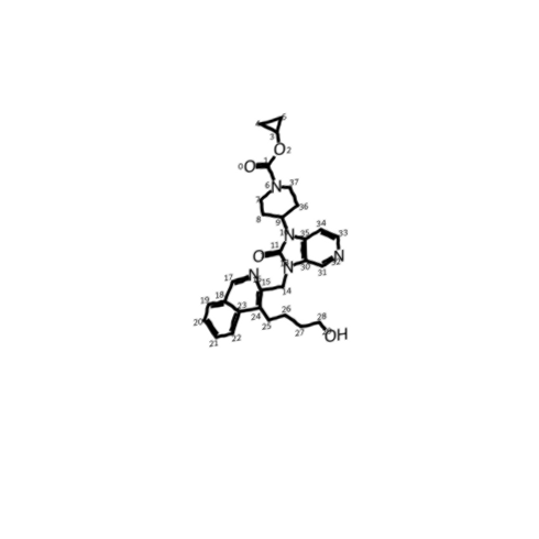 O=C(OC1CC1)N1CCC(n2c(=O)n(Cc3ncc4ccccc4c3CCCCO)c3cnccc32)CC1